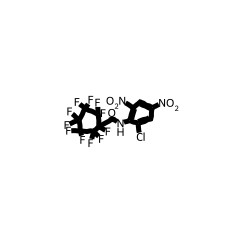 O=C(Nc1c(Cl)cc([N+](=O)[O-])cc1[N+](=O)[O-])C1(F)C(F)(F)C(F)(F)C(F)(F)C(F)(F)C1(F)F